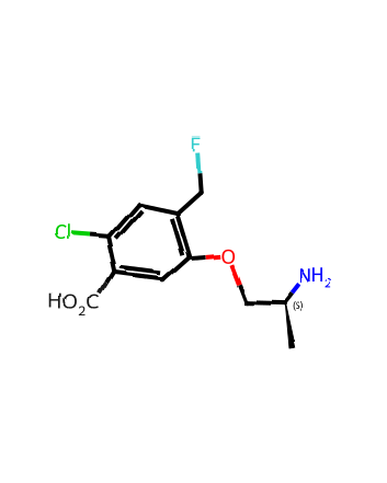 C[C@H](N)COc1cc(C(=O)O)c(Cl)cc1CF